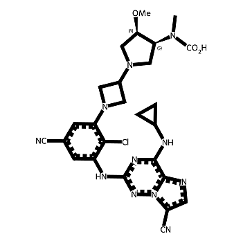 CO[C@@H]1CN(C2CN(c3cc(C#N)cc(Nc4nc(NC5CC5)c5ncc(C#N)n5n4)c3Cl)C2)C[C@@H]1N(C)C(=O)O